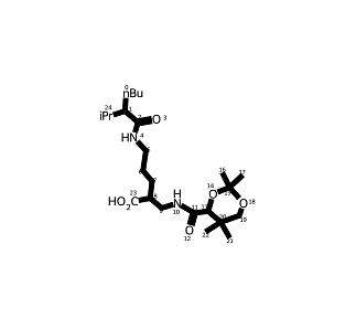 CCCCC(C(=O)NCCCC(CNC(=O)C1OC(C)(C)OCC1(C)C)C(=O)O)C(C)C